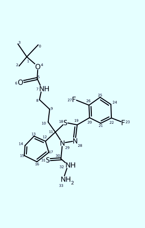 CC(C)(C)OC(=O)NCCCC1(c2ccccc2)SC(c2cc(F)ccc2F)=NN1C(=S)NN